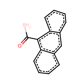 BC(=O)c1c2ccccc2cc2ccccc12